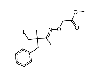 COC(=O)CO/N=C(\C)C(C)(CI)Cc1ccccc1